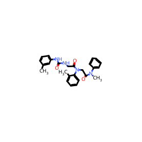 Cc1cccc(NC(=O)NCC(=O)N(CC(=O)N(C)c2ccccc2)c2ccccc2C)c1